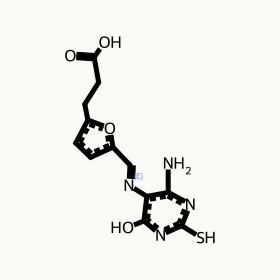 Nc1nc(S)nc(O)c1/N=C/c1ccc(CCC(=O)O)o1